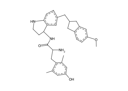 COc1ccc2c(c1)CC(Cc1ccc3c(c1)C(NC(=O)C(N)Cc1c(C)cc(O)cc1C)CCN3)C2